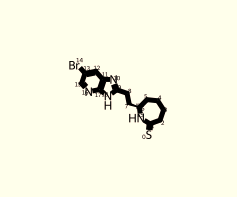 S=C1CCCC[C@H](CCc2nc3cc(Br)cnc3[nH]2)N1